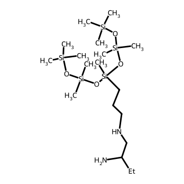 CCC(N)CNCCC[Si](C)(O[Si](C)(C)O[Si](C)(C)C)O[Si](C)(C)O[Si](C)(C)C